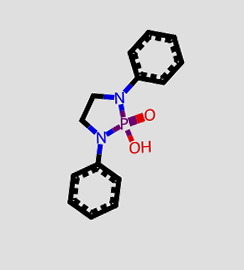 O=P1(O)N(c2ccccc2)CCN1c1ccccc1